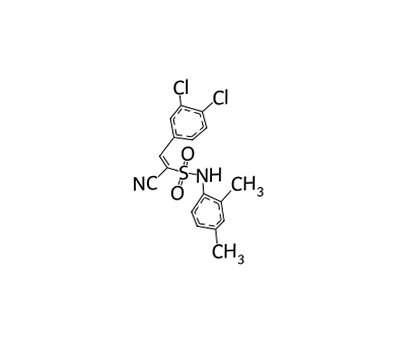 Cc1ccc(NS(=O)(=O)/C(C#N)=C\c2ccc(Cl)c(Cl)c2)c(C)c1